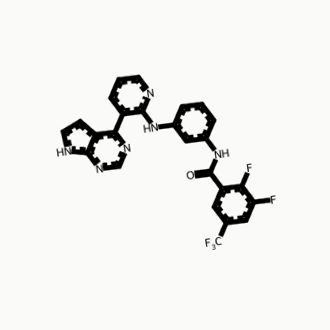 O=C(Nc1cccc(Nc2ncccc2-c2ncnc3[nH]ccc23)c1)c1cc(C(F)(F)F)cc(F)c1F